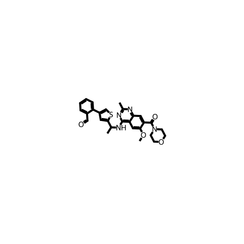 COc1cc2c(NC(C)c3cc(-c4ccccc4C=O)cs3)nc(C)nc2cc1C(=O)N1CCOCC1